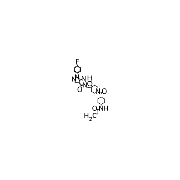 C=CC(=O)N[C@H]1CC[C@H](C(=O)N2CCC(O)(Cn3cnc4c(cnn4-c4ccc(F)cc4)c3=O)CC2)CC1